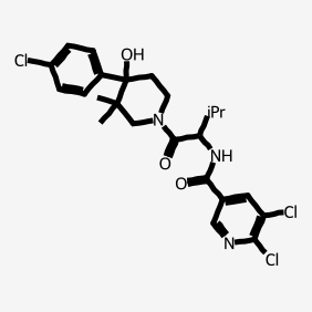 CC(C)C(NC(=O)c1cnc(Cl)c(Cl)c1)C(=O)N1CCC(O)(c2ccc(Cl)cc2)C(C)(C)C1